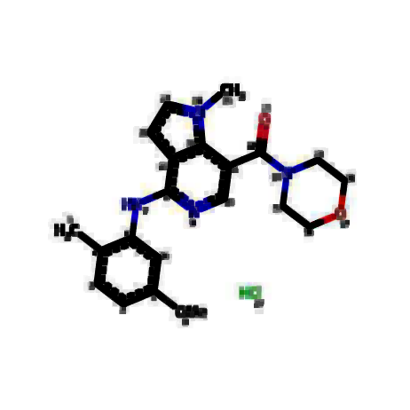 COc1ccc(C)c(Nc2ncc(C(=O)N3CCOCC3)c3c2ccn3C)c1.Cl